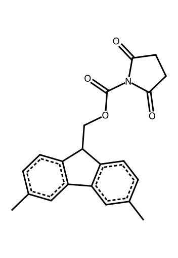 Cc1ccc2c(c1)-c1cc(C)ccc1C2COC(=O)N1C(=O)CCC1=O